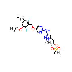 COc1cc(C)c(F)c(COc2cnc(Nc3cc(CCOS(C)(=O)=O)n(C)n3)nc2)c1F